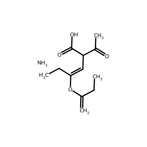 C=C(CC)OC(=CC(C(C)=O)C(=O)O)CC.N